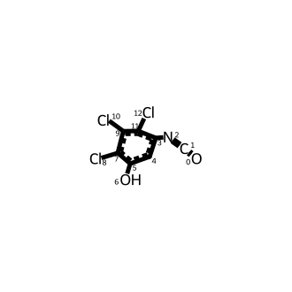 O=C=Nc1cc(O)c(Cl)c(Cl)c1Cl